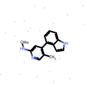 CONc1cc(-c2cccc3[nH]ccc23)c(C)cn1